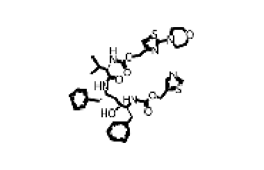 CC(C)[C@H](NC(=O)OCc1csc(N2CCOCC2)n1)C(=O)N[C@@H](Cc1ccccc1)C[C@H](O)[C@H](Cc1ccccc1)NC(=O)OCc1cncs1